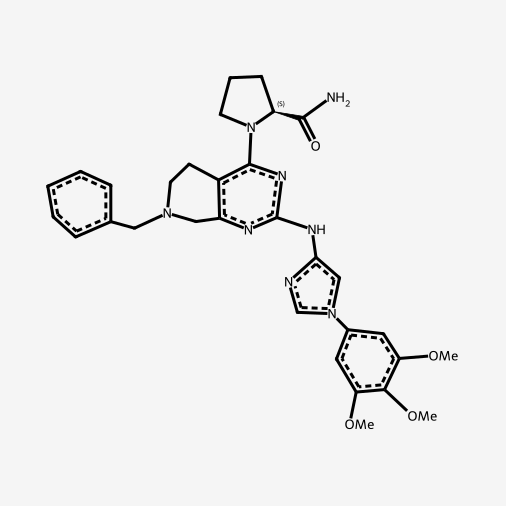 COc1cc(-n2cnc(Nc3nc4c(c(N5CCC[C@H]5C(N)=O)n3)CCN(Cc3ccccc3)C4)c2)cc(OC)c1OC